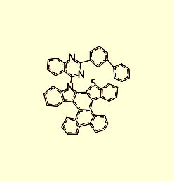 c1ccc(-c2cccc(-c3nc(-n4c5ccccc5c5c6c7ccccc7c7ccccc7c6c6c7ccccc7sc6c54)c4ccccc4n3)c2)cc1